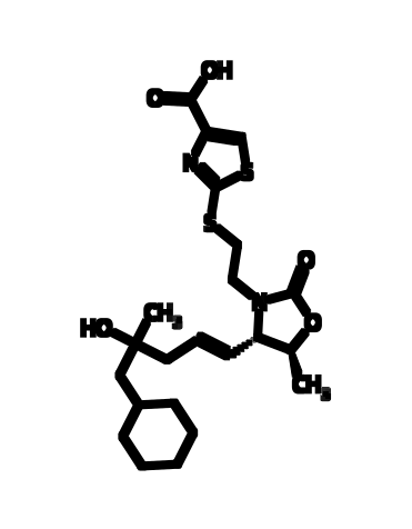 C[C@@H]1OC(=O)N(CCSc2nc(C(=O)O)cs2)[C@H]1C=CCC(C)(O)CC1CCCCC1